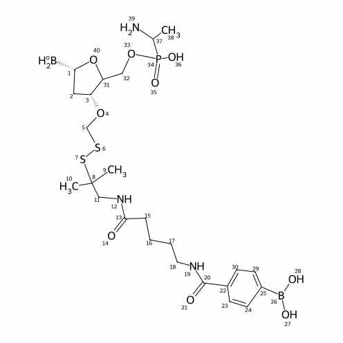 B[C@H]1C[C@@H](OCSSC(C)(C)CNC(=O)CCCCNC(=O)c2ccc(B(O)O)cc2)C(COP(=O)(O)C(C)N)O1